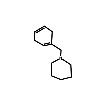 C1=CCC(CN2CCCCC2)=CC1